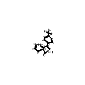 O=c1[nH]cc(-c2ccc(C(F)(F)F)cc2)c2ncccc12